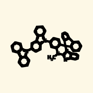 CN1c2cc(-n3c4ccccc4c4cc(-n5c6ccccc6c6ccccc65)ccc43)ccc2C2(c3ccccc3-c3ccccc32)n2c1nc1ccccc12